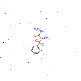 NNC(=O)C(N)S(=O)(=O)c1ccccc1